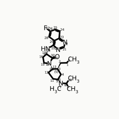 CCC[C@H]1C[C@H](N(C)C(C)C)CC[C@@H]1N1CC[C@H](Nc2ncnc3ccc(F)cc23)C1=O